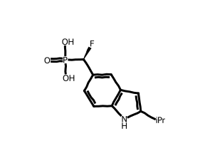 CC(C)c1cc2cc([C@H](F)P(=O)(O)O)ccc2[nH]1